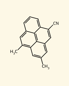 Cc1cc2cc(C#N)c3cccc4cc(C)c(c1)c2c43